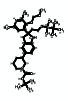 COCOc1c(C2(CCO[Si](C)(C)C(C)(C)C)Cc3cc(C4CCCN(C(=O)OC(C)(C)C)C4)ccc3N2)cc(C)nc1C